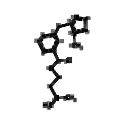 CN(C)CCOC(Cl)c1cccc(Cc2nccn2C)c1